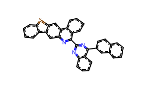 c1ccc2cc(-c3nc(-c4nc5cc6c(cc5c5ccccc45)sc4ccccc46)nc4ccccc34)ccc2c1